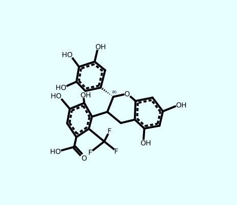 O=C(O)c1cc(O)c(O)c(C2Cc3c(O)cc(O)cc3O[C@H]2c2cc(O)c(O)c(O)c2)c1C(F)(F)F